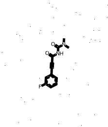 CN(C)C(=O)NC(=O)C#Cc1cccc(F)c1